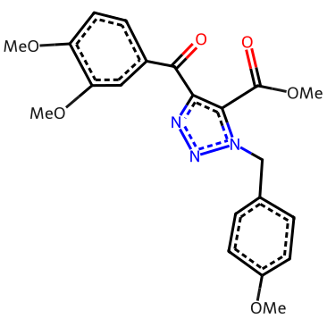 COC(=O)c1c(C(=O)c2ccc(OC)c(OC)c2)nnn1Cc1ccc(OC)cc1